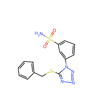 NS(=O)(=O)c1cccc(-n2nnnc2SCc2ccccc2)c1